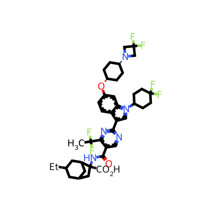 CCC1CC2CC(C1)C(NC(=O)c1cnc(-c3cn(C4CCC(F)(F)CC4)c4cc(O[C@H]5CC[C@@H](N6CC(F)(F)C6)CC5)ccc34)nc1C(C)(F)F)(C(=O)O)C2